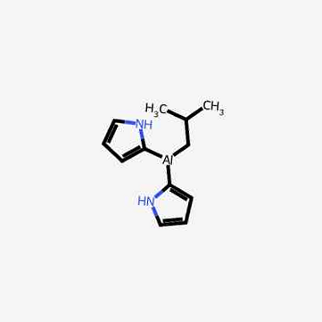 CC(C)[CH2][Al]([c]1ccc[nH]1)[c]1ccc[nH]1